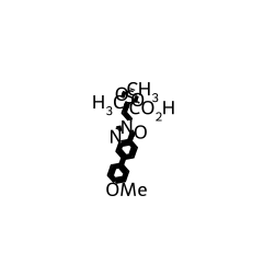 COc1ccc(-c2ccc3c(=O)n(CCC(C)(C(=O)O)S(C)(=O)=O)cnc3c2)cc1